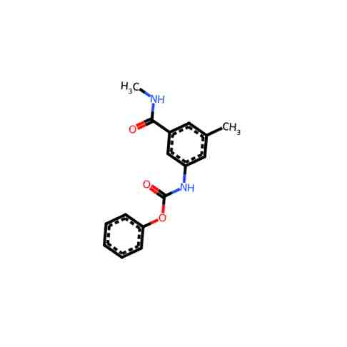 CNC(=O)c1cc(C)cc(NC(=O)Oc2ccccc2)c1